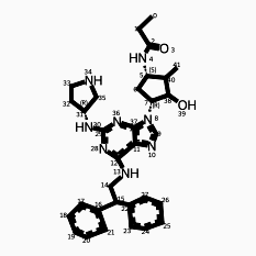 CCC(=O)N[C@H]1C[C@@H](n2cnc3c(NCC(c4ccccc4)c4ccccc4)nc(N[C@@H]4CCNC4)nc32)C(O)C1C